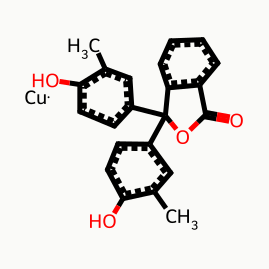 Cc1cc(C2(c3ccc(O)c(C)c3)OC(=O)c3ccccc32)ccc1O.[Cu]